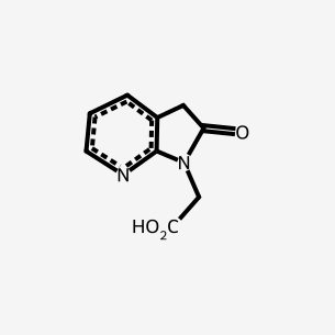 O=C(O)CN1C(=O)Cc2cccnc21